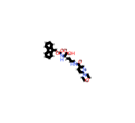 O=C(N[C@@H](CCCCNC(=O)c1ccc(N2CCOCC2)nc1)C(=O)O)OCC1c2ccccc2-c2ccccc21